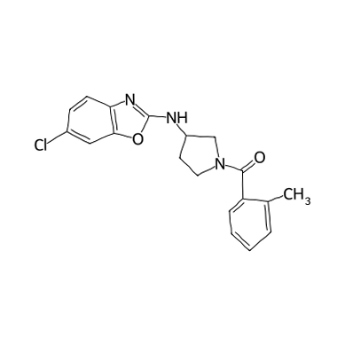 Cc1ccccc1C(=O)N1CCC(Nc2nc3ccc(Cl)cc3o2)C1